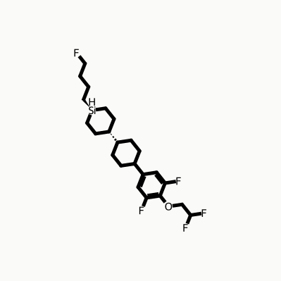 FCCCC[Si@H]1CC[C@H](C2CCC(c3cc(F)c(OCC(F)F)c(F)c3)CC2)CC1